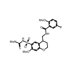 CNC(=S)NS(=O)(=O)c1cc2c(cc1OC)OCCC2CNC(=O)c1cc(F)ccc1OC